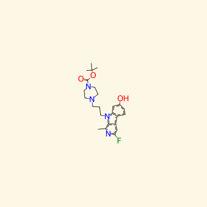 Cc1nc(F)cc2c3ccc(O)cc3n(CCCN3CCN(C(=O)OC(C)(C)C)CC3)c12